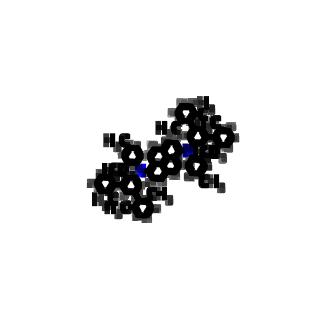 Cc1ccc(N(c2cc(-c3c(C)cccc3C)cc(-c3c(C)cccc3C)c2)c2ccc3ccc4c(N(c5cc(-c6c(C)cccc6C)cc(-c6c(C)cccc6C)c5)c5ccc(C)cc5C)ccc5ccc2c3c54)c(C)c1